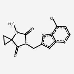 CN1C(=O)N(Cc2cc3nccc(Cl)c3s2)C(=O)C12CC2